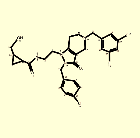 O=C(NCCn1c2c(c(=O)n1Cc1ccc(Cl)cc1)CN(Cc1cc(F)cc(F)c1)CC2)C1CC1CO